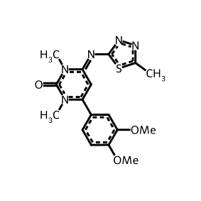 COc1ccc(-c2cc(=Nc3nnc(C)s3)n(C)c(=O)n2C)cc1OC